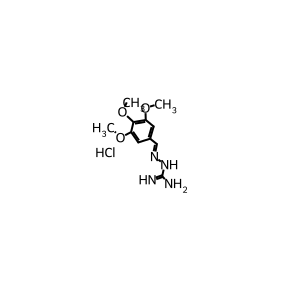 COc1cc(C=NNC(=N)N)cc(OC)c1OC.Cl